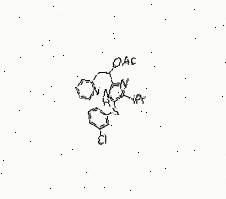 CC(=O)OC(Cc1ccccn1)c1nc(C(C)C)c(Sc2cccc(Cl)c2)[nH]1